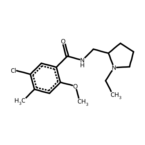 CCN1CCCC1CNC(=O)c1cc(Cl)c(C)cc1OC